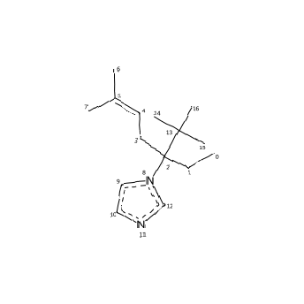 CCC(CC=C(C)C)(n1ccnc1)C(C)(C)C